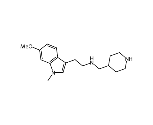 COc1ccc2c(CCNCC3CCNCC3)cn(C)c2c1